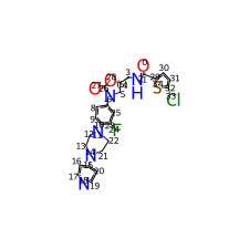 O=C(NC[C@H]1CN(c2ccc(N3CCN(c4ccncc4)CC3)c(F)c2)C(=O)O1)c1ccc(Cl)s1